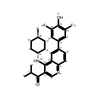 CC(C)C(=O)c1cnc2ccc(-c3cc(F)c(O)c(F)c3)cc2c1N[C@H]1CC[C@H](C)CC1